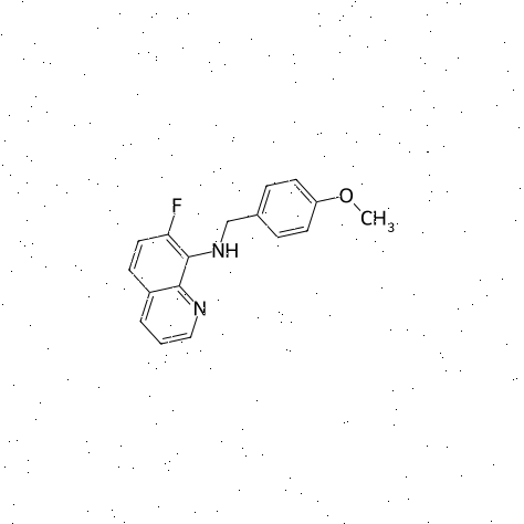 COc1ccc(CNc2c(F)ccc3cccnc23)cc1